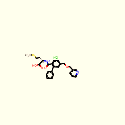 CSCC[C@H](NC(=O)c1ccc(COCc2cccnc2)cc1-c1ccccc1)C(=O)O.Cl